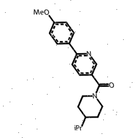 COc1ccc(-c2ccc(C(=O)N3CCC(C(C)C)CC3)cn2)cc1